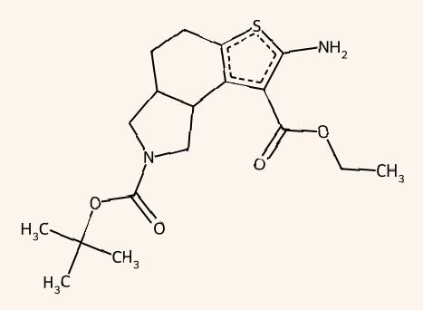 CCOC(=O)c1c(N)sc2c1C1CN(C(=O)OC(C)(C)C)CC1CC2